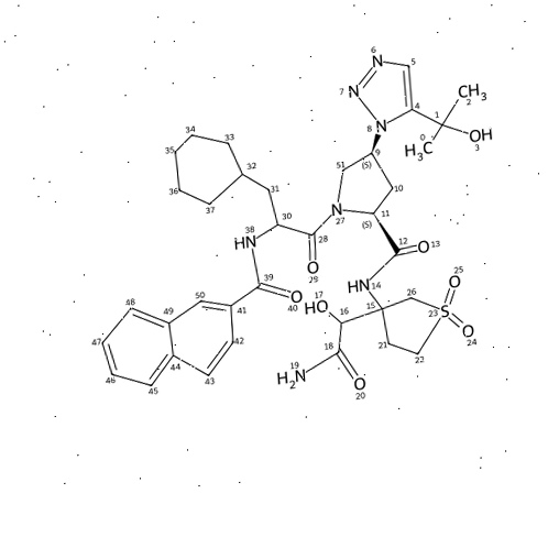 CC(C)(O)c1cnnn1[C@H]1C[C@@H](C(=O)NC2(C(O)C(N)=O)CCS(=O)(=O)C2)N(C(=O)C(CC2CCCCC2)NC(=O)c2ccc3ccccc3c2)C1